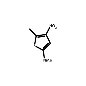 CNc1cc([N+](=O)[O-])c(C)s1